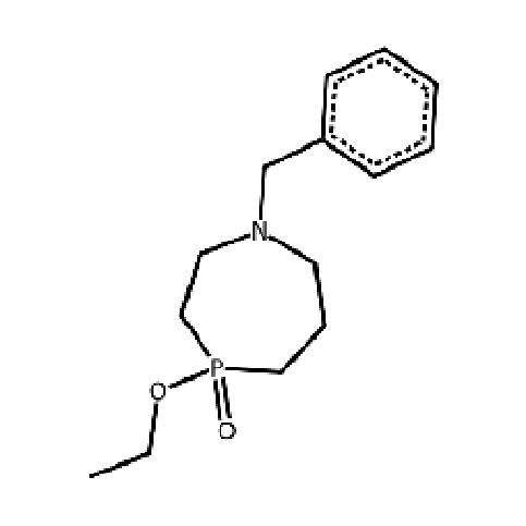 CCOP1(=O)CCCN(Cc2ccccc2)CC1